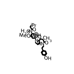 CCC(C)C(C(CC(=O)N1CCCC1C(OC)C(C)C(=O)NCCc1ccc(O)cc1)OC)N(C)C(=O)CC(C)C